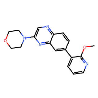 COc1ncccc1-c1ccc2ncc(N3CCOCC3)nc2c1